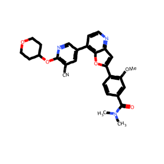 COc1cc(C(=O)N(C)C)ccc1-c1cc2nccc(-c3cnc(OC4CCOCC4)c(C#N)c3)c2o1